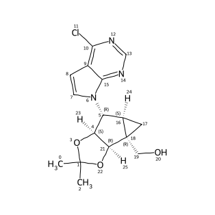 CC1(C)O[C@H]2[C@H](n3ccc4c(Cl)ncnc43)[C@H]3C[C@@]3(CO)[C@H]2O1